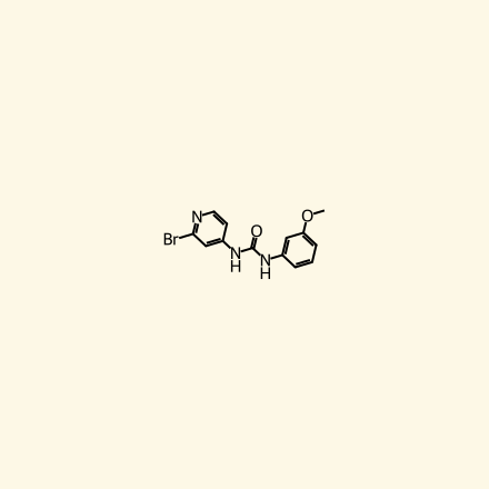 COc1cccc(NC(=O)Nc2ccnc(Br)c2)c1